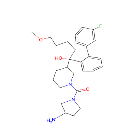 COCCCC[C@@](O)(c1ccccc1-c1cccc(F)c1)C1CCCN(C(=O)N2CCC(N)C2)C1